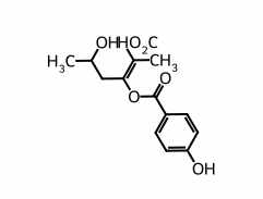 CC(C(=O)O)=C(CC(C)O)OC(=O)c1ccc(O)cc1